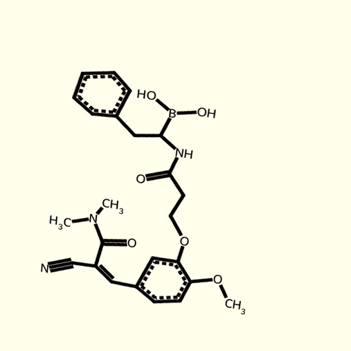 COc1ccc(C=C(C#N)C(=O)N(C)C)cc1OCCC(=O)NC(Cc1ccccc1)B(O)O